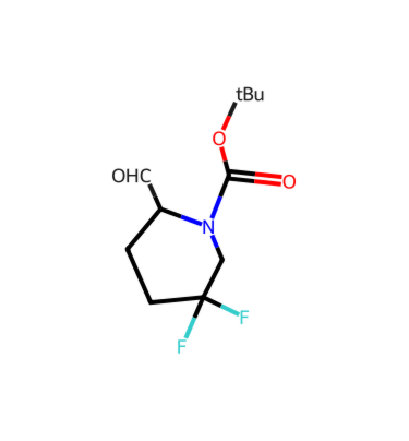 CC(C)(C)OC(=O)N1CC(F)(F)CCC1C=O